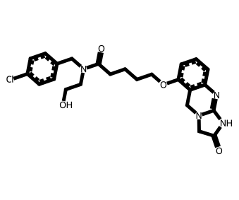 O=C1CN2Cc3c(cccc3OCCCCC(=O)N(CCO)Cc3ccc(Cl)cc3)N=C2N1